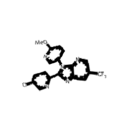 COc1ccc(-n2c(-c3ccc(Cl)cn3)nc3cc(C(F)(F)F)cnc32)cn1